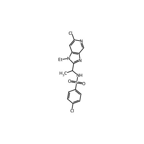 CCn1c(C(C)NS(=O)(=O)c2ccc(Cl)cc2)nc2cnc(Cl)cc21